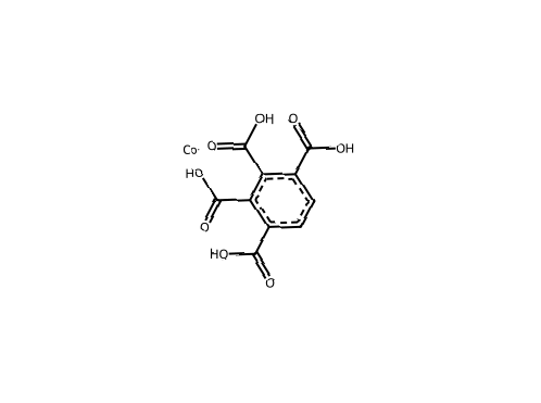 O=C(O)c1ccc(C(=O)O)c(C(=O)O)c1C(=O)O.[Co]